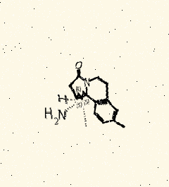 Cc1ccc2c(c1)CCN1C(=O)C[C@H]3[C@H](N)[C@@H](C)CC231